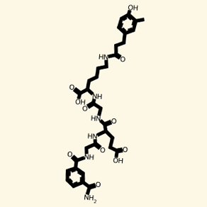 Cc1cc(CCC(=O)NCCCCC(NC(=O)CNC(=O)C(CCC(=O)O)NC(=O)CNC(=O)c2cccc(C(N)=O)c2)C(=O)O)ccc1O